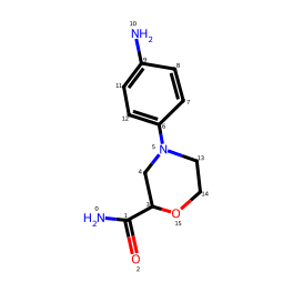 NC(=O)C1CN(c2ccc(N)cc2)CCO1